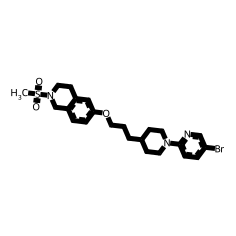 CS(=O)(=O)N1CCc2cc(OCCCC3CCN(c4ccc(Br)cn4)CC3)ccc2C1